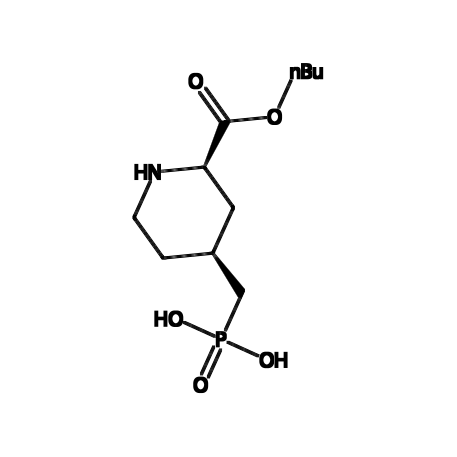 CCCCOC(=O)[C@H]1C[C@@H](CP(=O)(O)O)CCN1